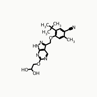 Cc1cc(OCc2n[nH]c3nc(OCC(O)O)ncc23)c(C(C)(C)C)cc1C#N